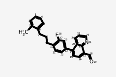 Cc1ccccc1CCCc1ccc(-c2ccc(C=O)c3ncccc23)cc1F